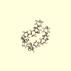 CN(C)S(=O)(=O)c1ccc(-c2ccc3ncc(N4CCOCC4)nc3c2)cc1.NS(=O)(=O)c1cccc(-c2ccc3ncc(N4CCOCC4)nc3c2)c1